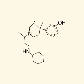 CC(CCNC1CCCCC1)N1CCC(C)(c2cccc(O)c2)C(C)C1